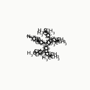 CC(C)(C)c1ccc(-n2c3ccc(C(C)(C)C)cc3c3cc4c5cc6c7cc(C(C)(C)C)ccc7n(-c7ccc(C(C)(C)C)cc7)c6cc5n(-c5ccc(S(=O)(=O)c6ccc(C#N)cc6)cc5)c4cc32)cc1